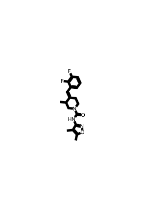 Cc1onc(NC(=O)N2CC/C(=C\c3cccc(F)c3F)C(C)C2)c1C